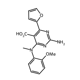 COc1ccccc1N(C)c1nc(N)nc(-c2ccco2)c1C(=O)O